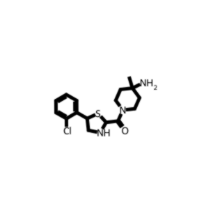 CC1(N)CCN(C(=O)C2NCC(c3ccccc3Cl)S2)CC1